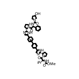 COC(=O)N[C@H](C(=O)N1CCC[C@H]1c1ncc(-c2ccc(C34CCC(c5cnc([C@@H]6CCCN6C(=O)[C@H](NC(=O)N6CC[C@@H](O)C6)c6ccccc6)[nH]5)(CC3)CC4)cc2)[nH]1)C(C)C